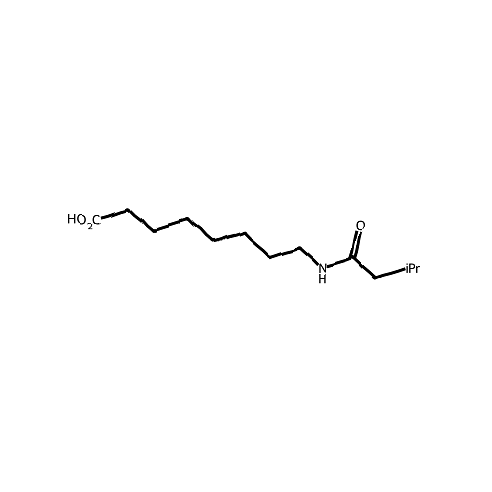 CC(C)CC(=O)NCCCCCCCC(=O)O